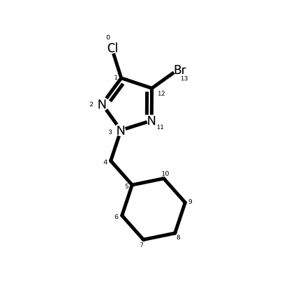 Clc1nn(CC2CCCCC2)nc1Br